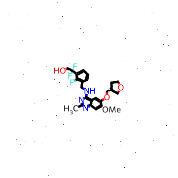 COc1cc2nc(C)nc(NCc3cccc(C(F)(F)CO)c3F)c2cc1OC[C@H]1CCOC1